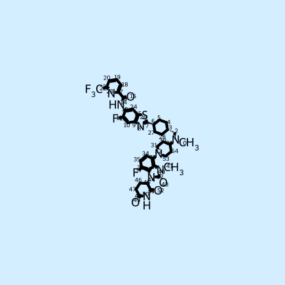 CN(C[C@H]1CC[C@H](c2nc3cc(F)c(NC(=O)c4cccc(C(F)(F)F)n4)cc3s2)CC1)C1CCN(c2ccc(F)c3c2n(C)c(=O)n3C2CCC(=O)NC2=O)CC1